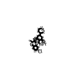 CCCC(OC(N)C(C)Oc1ccc(Cl)cc1)C1C(=O)CC(C2CCCSC2)CC1=O